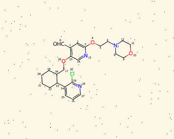 O=Cc1cc(OCCN2CCOCC2)ncc1OCC1CCCCC1c1cccnc1Cl